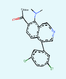 COC(=O)c1ccc2c(-c3cc(Cl)cc(Cl)c3)cncc2c1N(C)C